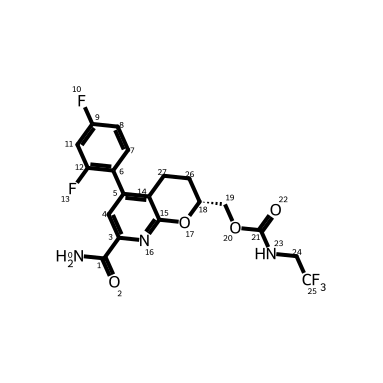 NC(=O)c1cc(-c2ccc(F)cc2F)c2c(n1)O[C@@H](COC(=O)NCC(F)(F)F)CC2